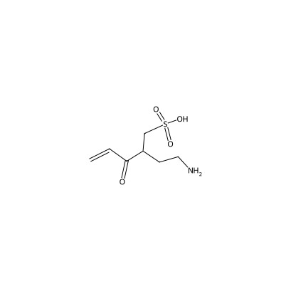 C=CC(=O)C(CCN)CS(=O)(=O)O